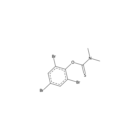 CN(C)C(=S)Oc1c(Br)cc(Br)cc1Br